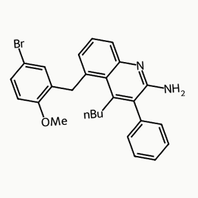 CCCCc1c(-c2ccccc2)c(N)nc2cccc(Cc3cc(Br)ccc3OC)c12